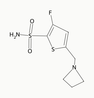 NS(=O)(=O)c1sc(CN2CCC2)cc1F